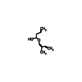 C=CCC(O)OC=C(C)C=C